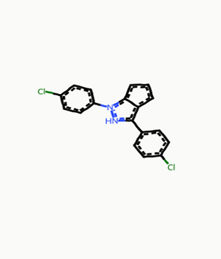 Clc1ccc(-c2[nH]n(-c3ccc(Cl)cc3)c3cccc2-3)cc1